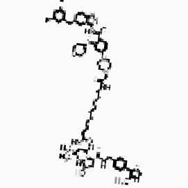 Cc1ncsc1-c1ccc(CNC(=O)[C@@H]2C[C@@H](O)CN2C(=O)[C@@H](NC(=O)CCCCCCCCCNC(=O)CN2CCN(c3ccc(C(=O)Nc4n[nH]c5ccc(Cc6cc(F)cc(F)c6)cc45)c(NC4CCOCC4)c3)CC2)C(C)(C)C)cc1